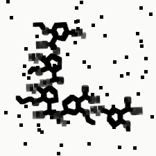 CCCOc1c(N)cccc1C(=O)O.CCOc1c(N)cccc1C(=O)O.CCOc1cc(N)ccc1C(=O)O.CCOc1ccc(N)cc1C(=O)O.COc1ccc(N)cc1C(=O)O